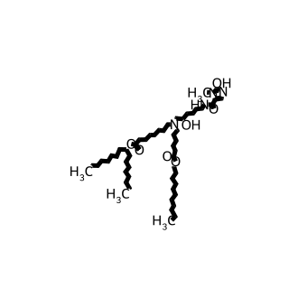 CCCCCCCCCCCOC(=O)CCCCCN(CCCCCCCC(=O)OC(CCCCCCCC)CCCCCCCC)CC(O)CCCCNC(=O)c1cnc(O)n1C